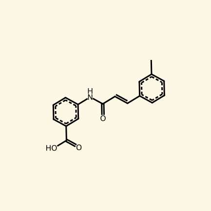 Cc1cccc(C=CC(=O)Nc2cccc(C(=O)O)c2)c1